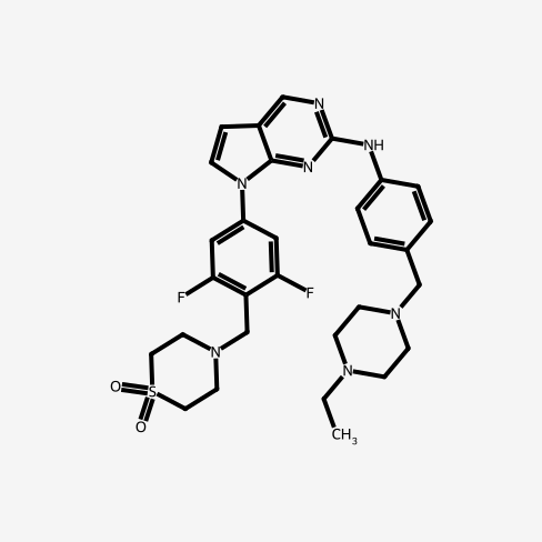 CCN1CCN(Cc2ccc(Nc3ncc4ccn(-c5cc(F)c(CN6CCS(=O)(=O)CC6)c(F)c5)c4n3)cc2)CC1